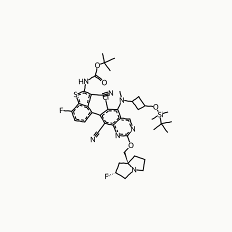 CN(c1c(Cl)c(-c2ccc(F)c3sc(NC(=O)OC(C)(C)C)c(C#N)c23)c(C#N)c2nc(OC[C@@]34CCCN3C[C@H](F)C4)ncc12)C1CC(O[Si](C)(C)C(C)(C)C)C1